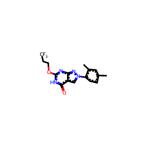 Cc1ccc(-n2cc3c(=O)[nH]c(OCCC(F)(F)F)nc3n2)c(C)c1